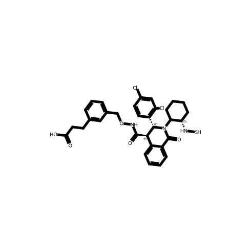 O=C(O)CCc1cccc(CONC(=O)[C@@H]2c3ccccc3C(=O)N(C3CCCC[C@@H]3NS)[C@H]2c2ccc(Cl)cc2Cl)c1